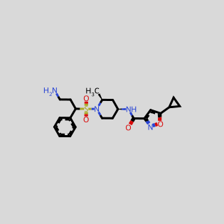 C[C@H]1C[C@@H](NC(=O)c2cc(C3CC3)on2)CCN1S(=O)(=O)C(CCN)c1ccccc1